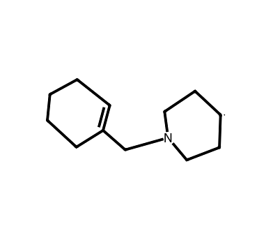 [CH]1CCN(CC2=CCCCC2)CC1